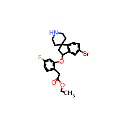 CCOC(=O)Cc1ccc(F)cc1OC1CC2(CCNCC2)c2ccc(Br)cc21